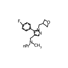 CCCN(C)Cc1cnn(CC2COC2)c1-c1ccc(F)cc1